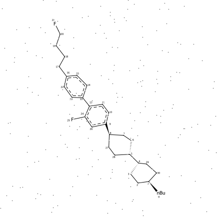 CCCC[C@H]1CC[C@H]([C@H]2CC[C@H](c3ccc(-c4ccc(CCCCF)cc4)c(F)c3)CC2)CC1